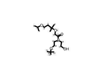 CC(C)OCCC(C)(C)OCC(=O)N(CCO)CCOC(C)(C)C